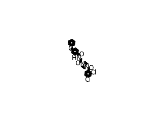 O=C(NCC(=O)N1CCN(C(=O)c2ccc(Cl)cc2Cl)CC1)c1ccc(Oc2ccccc2)cc1